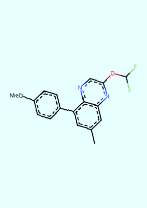 COc1ccc(-c2cc(C)cc3nc(OC(F)F)cnc23)cc1